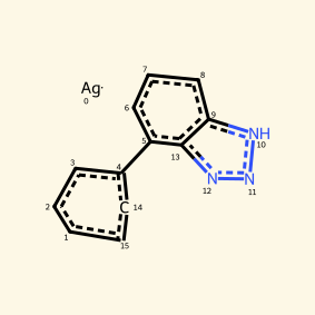 [Ag].c1ccc(-c2cccc3[nH]nnc23)cc1